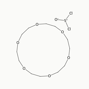 C1COCCOCCOCCOCCOCCO1.[O-][S+](Cl)Cl